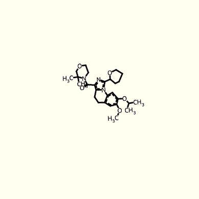 COc1cc2c(cc1OC(C)C)-n1c(C3CCCCO3)nc(C(=O)N3CCOCC3(C)C)c1CC2